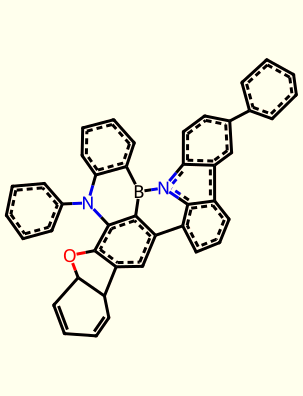 C1=CC2Oc3c(cc4c5c3N(c3ccccc3)c3ccccc3B5n3c5ccc(-c6ccccc6)cc5c5cccc-4c53)C2C=C1